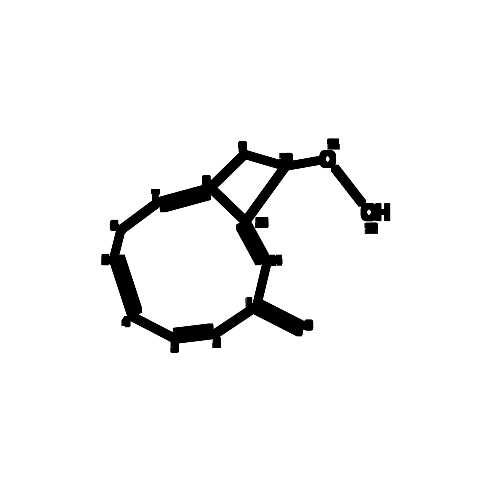 C=C1/C=C\C=C/C/C=C2/CC(OO)/C2=C/1